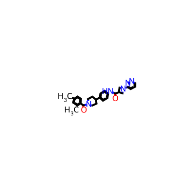 Cc1ccc(C(=O)N2CCC(c3ccc(NC(=O)C4CN(c5cccnn5)C4)cc3)CC2)c(C)c1